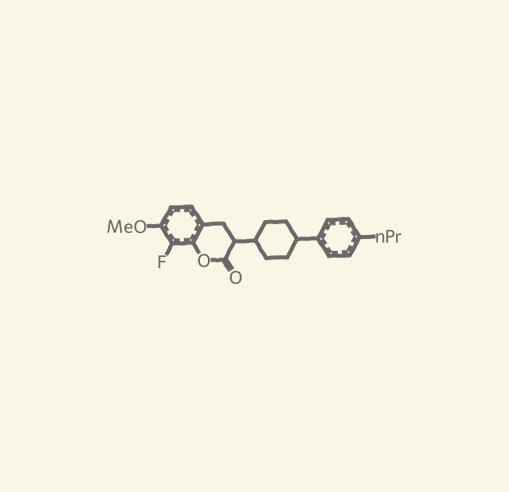 CCCc1ccc(C2CCC(C3Cc4ccc(OC)c(F)c4OC3=O)CC2)cc1